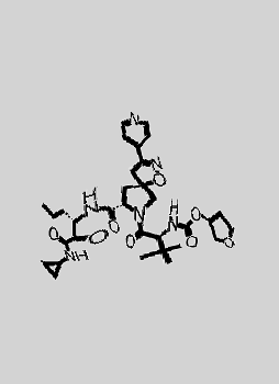 CCC[C@H](NC(=O)[C@@H]1C[C@]2(CC(c3ccncc3)=NO2)CN1C(=O)[C@@H](NC(=O)O[C@H]1CCOC1)C(C)(C)C)C(=O)C(=O)NC1CC1